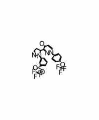 O=c1ccn(-c2ccc(OC(F)(F)F)cc2)nc1C1CC=NN1c1cccc(S(=O)(=O)C(F)(F)F)c1